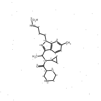 Cc1ccc2c(C(C)N(C(=O)C3CNCCO3)C3CC3)nn(CCCNC(=O)O)c2n1